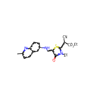 CCOC(=O)C(C#N)=c1sc(=CNc2ccc3nc(C)ccc3c2)c(=O)n1CC